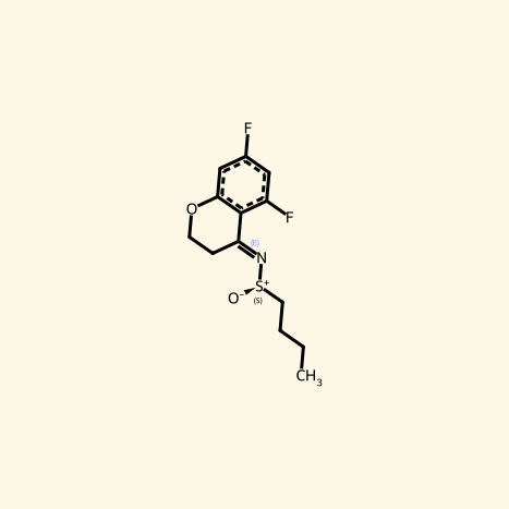 CCCC[S@@+]([O-])/N=C1\CCOc2cc(F)cc(F)c21